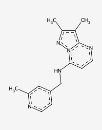 Cc1cc(CNc2ccnc3c(C)c(C)nn23)ccn1